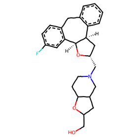 OCC1CC2CN(C[C@H]3C[C@@H]4c5ccccc5Cc5ccc(F)cc5[C@@H]4O3)CCC2O1